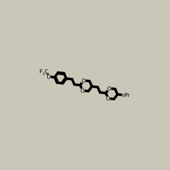 CCCC1COC(CCC2COC(CCc3ccc(OC(F)(F)F)cc3)OC2)OC1